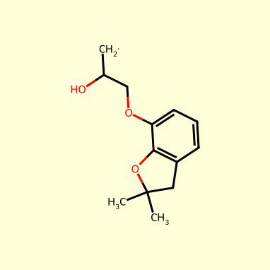 [CH2]C(O)COc1cccc2c1OC(C)(C)C2